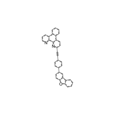 C(#Cc1ccc2c3ccccc3c3cccnc3c2n1)c1ccc(-c2ccc3oc4ccccc4c3c2)cc1